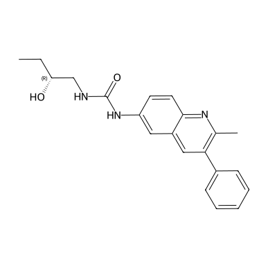 CC[C@@H](O)CNC(=O)Nc1ccc2nc(C)c(-c3ccccc3)cc2c1